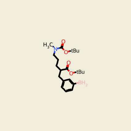 Bc1cccc(CC(CCCN(C)C(=O)OC(C)(C)C)C(=O)OC(C)(C)C)c1